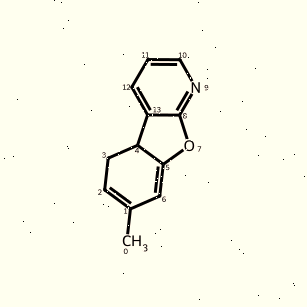 CC1=CCC2C(=C1)Oc1ncccc12